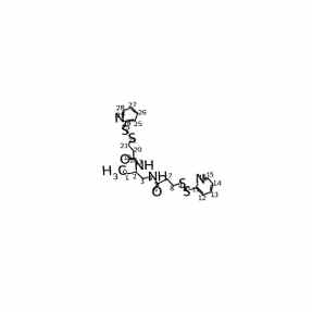 CCC(CNC(=O)CCSSc1ccccn1)NC(=O)CCSSc1ccccn1